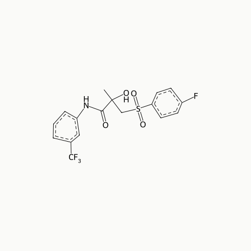 CC(O)(CS(=O)(=O)c1ccc(F)cc1)C(=O)Nc1cccc(C(F)(F)F)c1